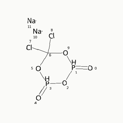 O=[PH]1O[PH](=O)OC(Cl)(Cl)O1.[Na].[Na]